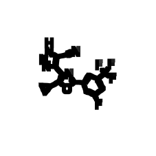 N#Cc1[nH]nnc1-c1nc(-c2cc(F)cc(C(F)(F)F)c2)oc1C1CC1